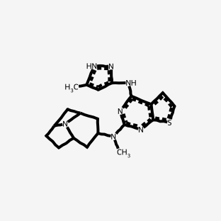 Cc1cc(Nc2nc(N(C)C3CC4CCC5CC(C3)N45)nc3sccc23)n[nH]1